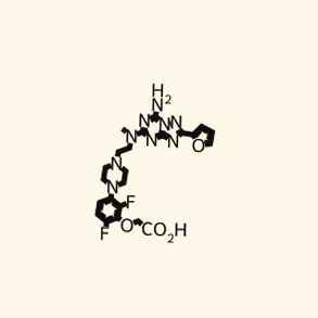 CN(CCN1CCN(c2ccc(F)c(OCC(=O)O)c2F)CC1)c1nc(N)n2nc(-c3ccco3)nc2n1